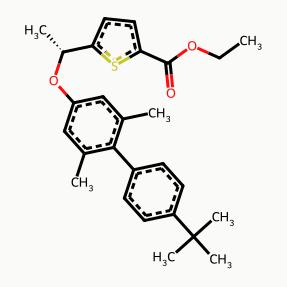 CCOC(=O)c1ccc([C@@H](C)Oc2cc(C)c(-c3ccc(C(C)(C)C)cc3)c(C)c2)s1